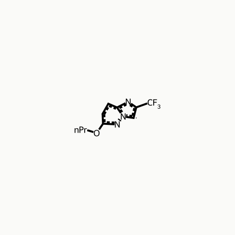 CCCOc1ccc2nc(C(F)(F)F)[c]n2n1